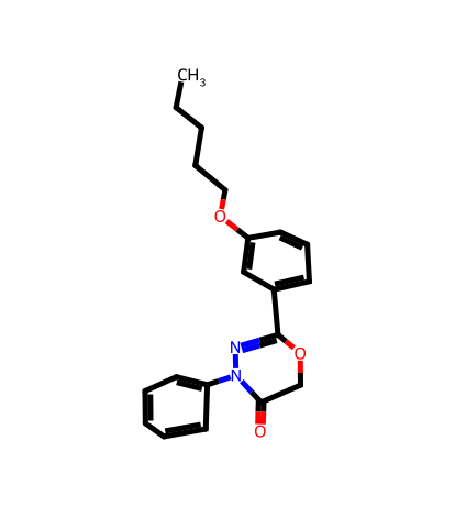 CCCCCOc1cccc(C2=NN(c3ccccc3)C(=O)CO2)c1